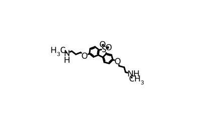 CNCCCOc1ccc2c(c1)-c1ccc(OCCCNC)cc1S2(=O)=O